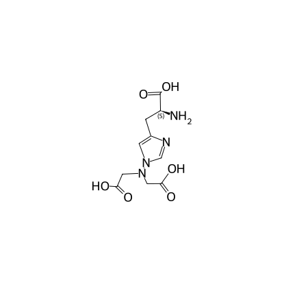 N[C@@H](Cc1cn(N(CC(=O)O)CC(=O)O)cn1)C(=O)O